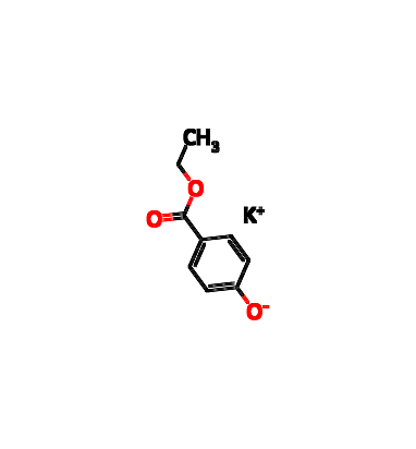 CCOC(=O)c1ccc([O-])cc1.[K+]